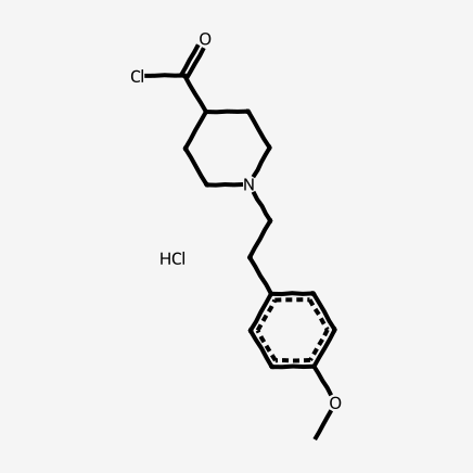 COc1ccc(CCN2CCC(C(=O)Cl)CC2)cc1.Cl